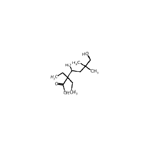 CCC(CC)(C(=O)O)C(O)CC(C)(C)CO